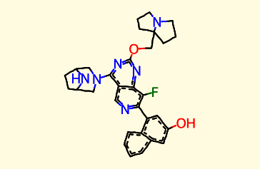 Oc1cc(-c2ncc3c(N4CC5CCC(C4)N5)nc(OCC45CCCN4CCC5)nc3c2F)c2ccccc2c1